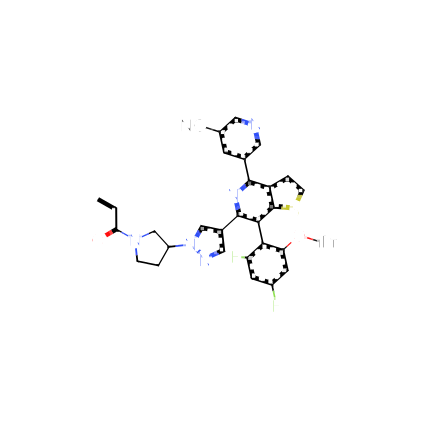 C=CC(=O)N1CCC(n2cc(-c3nc(-c4cncc(C#N)c4)c4ccsc4c3-c3c(F)cc(F)cc3OC(C)C)cn2)C1